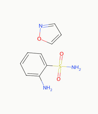 Nc1ccccc1S(N)(=O)=O.c1cnoc1